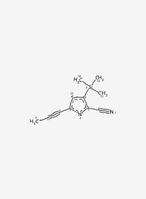 CC#Cc1nc(C#N)c([Si](C)(C)C)s1